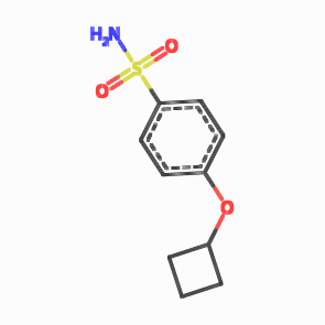 NS(=O)(=O)c1ccc(OC2CCC2)cc1